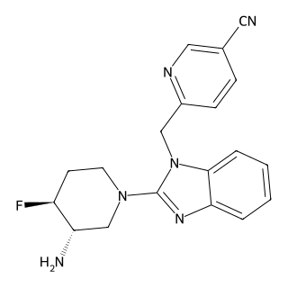 N#Cc1ccc(Cn2c(N3CC[C@H](F)[C@@H](N)C3)nc3ccccc32)nc1